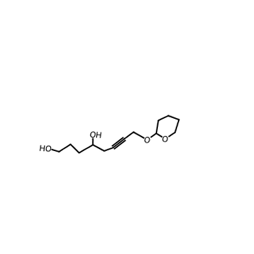 OCCCC(O)CC#CCOC1CCCCO1